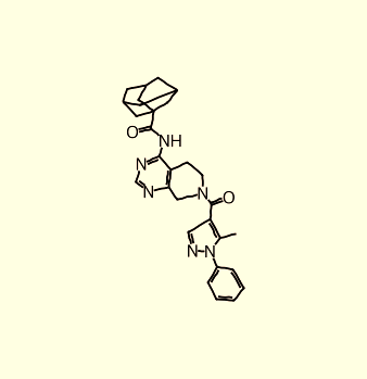 Cc1c(C(=O)N2CCc3c(ncnc3NC(=O)C34CC5CC(CC(C5)C3)C4)C2)cnn1-c1ccccc1